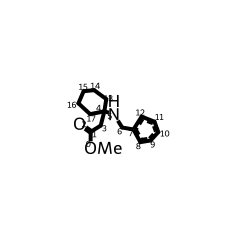 COC(=O)CC1(NCc2ccccc2)CCCCC1